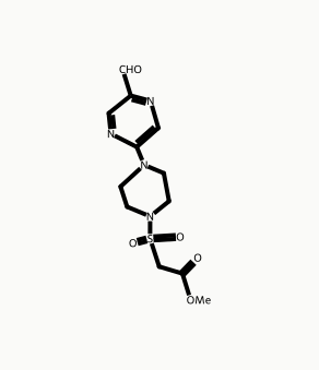 COC(=O)CS(=O)(=O)N1CCN(c2cnc(C=O)cn2)CC1